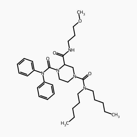 CCCCCN(CCCCC)C(=O)N1CCN(C(=O)N(c2ccccc2)c2ccccc2)C(C(=O)NCCCOC)C1